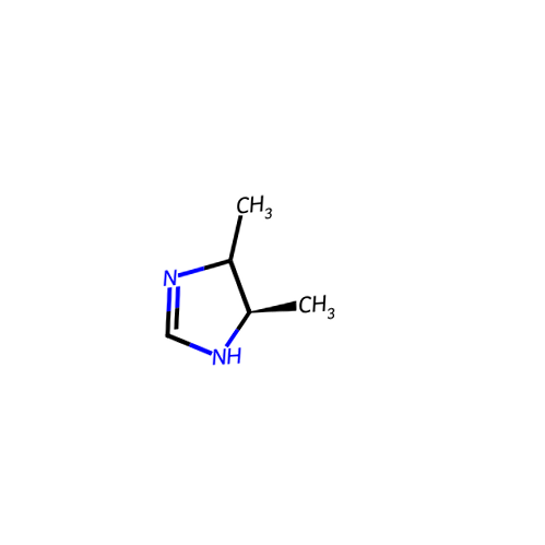 CC1N=CN[C@@H]1C